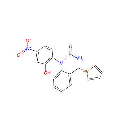 NC(=O)N(c1ccc([N+](=O)[O-])cc1O)c1ccccc1C[SH]1C=CC=C1